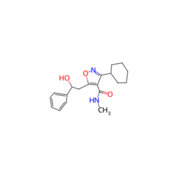 CNC(=O)c1c(C2CCCCC2)noc1CC(O)c1ccccc1